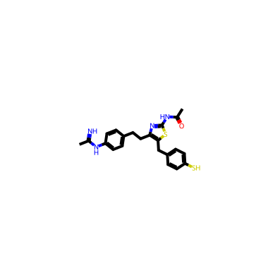 CC(=N)Nc1ccc(CCc2nc(NC(C)=O)sc2Cc2ccc(S)cc2)cc1